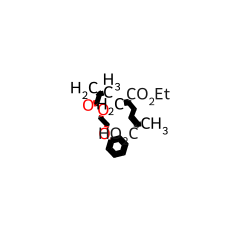 C=C(C)C(=O)OCCOc1ccccc1.C=C(CC=C(C)C(=O)O)C(=O)OCC